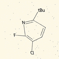 CC(C)(C)c1ccc(Cl)c(F)n1